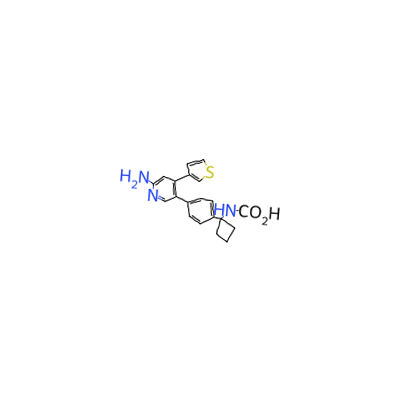 Nc1cc(-c2ccsc2)c(-c2ccc(C3(NC(=O)O)CCC3)cc2)cn1